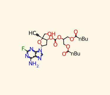 C#C[C@]1(CO)O[C@@H](n2cnc3c(N)nc(F)nc32)C[C@@H]1OC(=O)OC(COC(=O)CCCC)COC(=O)CCCC